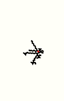 C=CCCCCCCC(CCCCC=C)=C(CC(CCCCCCC=C1CC1C)=C(CCCC=CC1(C=C)CC1C)C1(C=C)CC1C)C1(C(C=C)(C=C)C=C)CC1